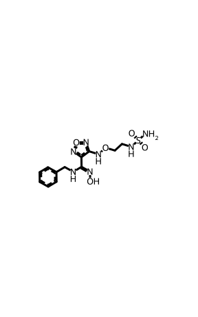 NS(=O)(=O)NCCONc1nonc1/C(=N/O)NCc1ccccc1